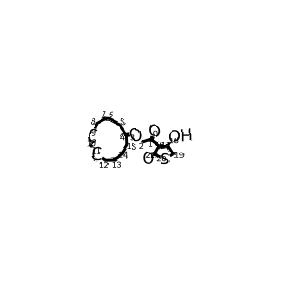 O=C(COC1CCCCCCCCCCC1)C1=C(O)CSC1=O